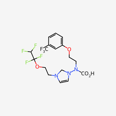 O=C(O)N(CCOc1cccc(C(F)(F)F)c1)N1C=CN(CCOC(F)(F)C(F)F)C1